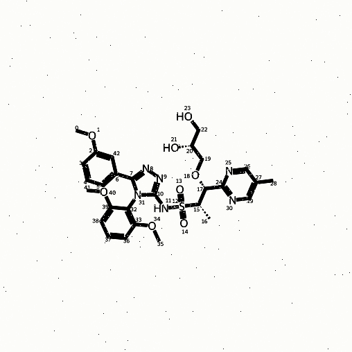 COc1cccc(-c2nnc(NS(=O)(=O)[C@@H](C)[C@H](OC[C@H](O)CO)c3ncc(C)cn3)n2-c2c(OC)cccc2OC)c1